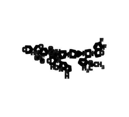 CC(C)Oc1ccccc1[C@@H]1CN([C@H]2CCOc3c2ccc(F)c3F)CCN1C1CC2(CCN(c3ccc(C(=O)NS(=O)(=O)c4cc5c(c([N+](=O)[O-])c4)N[C@H](C4CCOCC4)CO5)c(N4c5cc6cc[nH]c6nc5O[C@H]5COCC[C@@H]54)c3)CC2)C1